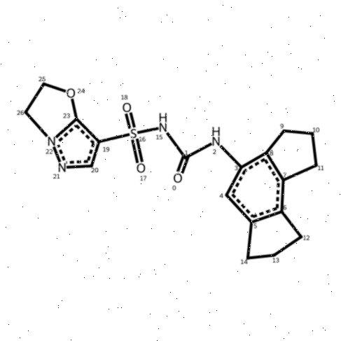 O=C(Nc1cc2c(c3c1CCC3)CCC2)NS(=O)(=O)c1cnn2c1OCC2